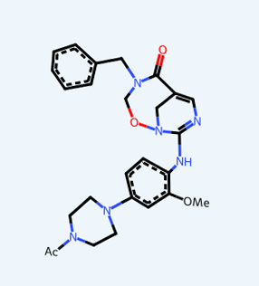 COc1cc(N2CCN(C(C)=O)CC2)ccc1NC1=NC=C2CN1OCN(Cc1ccccc1)C2=O